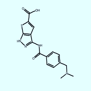 CN(C)Cc1ccc(C(=O)Nc2n[nH]c3sc(C(=O)O)cc23)cc1